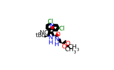 CC(C)(C)C[C@@H]1N[C@@H](C(=O)NCC[C@H]2COC(C)(C)O2)[C@H](c2cccc(Cl)c2)[C@@]1(C#N)c1ccc(Cl)nc1